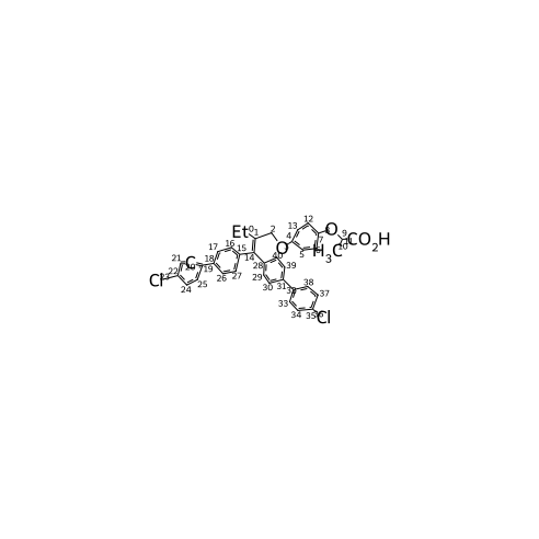 CCC(COc1ccc(OC(C)C(=O)O)cc1)=C(c1ccc(-c2ccc(Cl)cc2)cc1)c1ccc(-c2ccc(Cl)cc2)cc1